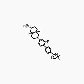 CCCCC1CC[C@@H]2C[C@H](c3ccc(-c4ccc(C5=NC(C)(C)CO5)cc4)c(F)c3)CC[C@@H]2C1